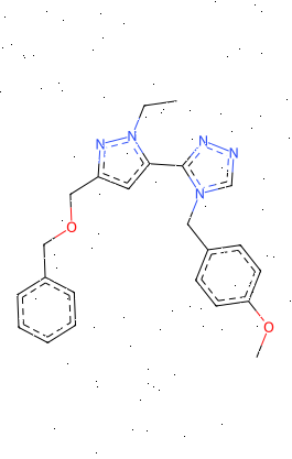 CCn1nc(COCc2ccccc2)cc1-c1nncn1Cc1ccc(OC)cc1